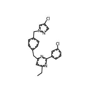 CCc1cc(Cc2ccc(Cn3cc(Cl)cn3)cc2)nc(-c2cccc(Cl)c2)n1